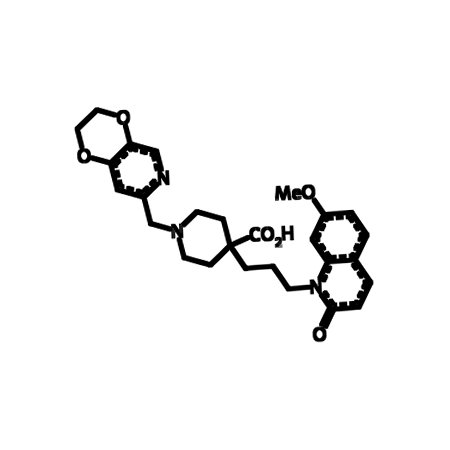 COc1ccc2ccc(=O)n(CCCC3(C(=O)O)CCN(Cc4cc5c(cn4)OCCO5)CC3)c2c1